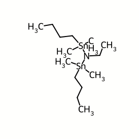 CCC[CH2][Sn]([CH3])([CH3])[N](CC)[Sn]([CH3])([CH3])[CH2]CCC